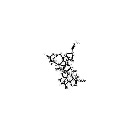 CCCCC#Cc1ccc2[nH]c3c(c2c1)CN1CC(CC)=C[C@@H](C1)C[C@]3(C(=O)OC)c1cc2c(cc1OC)N(C)[C@H]1[C@@](O)(C(=O)OC)[C@H](OC(C)=O)C3C(CC)=CCN4CC[C@]21[C@H]34